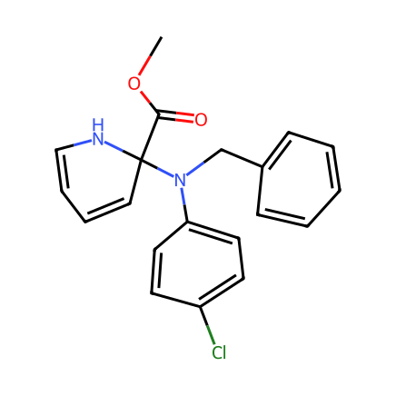 COC(=O)C1(N(Cc2ccccc2)c2ccc(Cl)cc2)C=CC=CN1